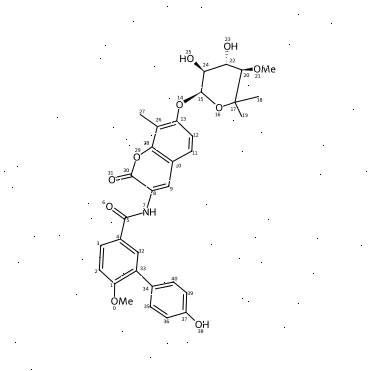 COc1ccc(C(=O)Nc2cc3ccc(O[C@@H]4OC(C)(C)[C@H](OC)[C@@H](O)[C@@H]4O)c(C)c3oc2=O)cc1-c1ccc(O)cc1